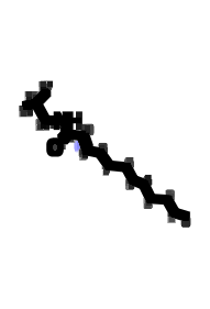 CCCCCCCCC/C=C/C(=O)NCC(C)C